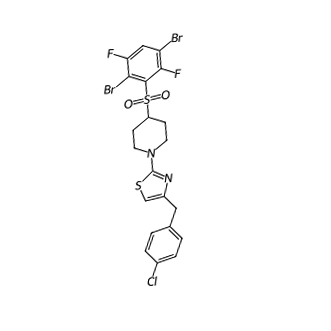 O=S(=O)(c1c(F)c(Br)cc(F)c1Br)C1CCN(c2nc(Cc3ccc(Cl)cc3)cs2)CC1